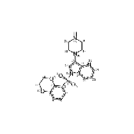 O=S(=O)(c1cccc2c1OCCO2)n1cc(N2CCNCC2)c2ncccc21